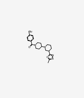 Cc1nnc(C2CCCN(C3CCN(C(=O)c4ccc(C(C)(C)C)cc4)CC3)C2)o1